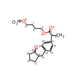 CC(C(=O)OCCCCO[N+](=O)[O-])c1ccc(CC2CCCC2=O)cc1